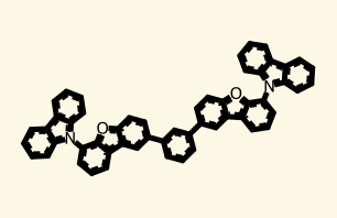 c1cc(-c2ccc3oc4c(-n5c6ccccc6c6ccccc65)cccc4c3c2)cc(-c2ccc3oc4c(-n5c6ccccc6c6ccccc65)cccc4c3c2)c1